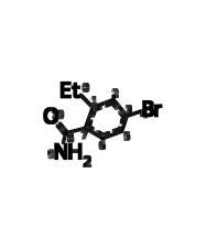 CCc1cc(Br)ccc1C(N)=O